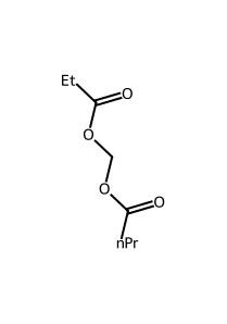 CCCC(=O)OCOC(=O)CC